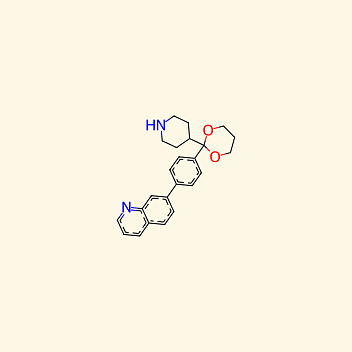 c1cnc2cc(-c3ccc(C4(C5CCNCC5)OCCCO4)cc3)ccc2c1